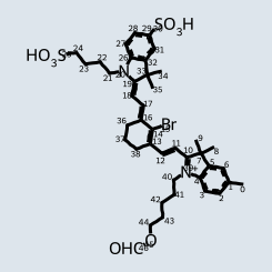 Cc1ccc2c(c1)C(C)(C)C(/C=C/C1=C(Br)C(=C/C=C3/N(CCCCS(=O)(=O)O)c4ccc(S(=O)(=O)O)cc4C3(C)C)/CCC1)=[N+]2CCCCCOC=O